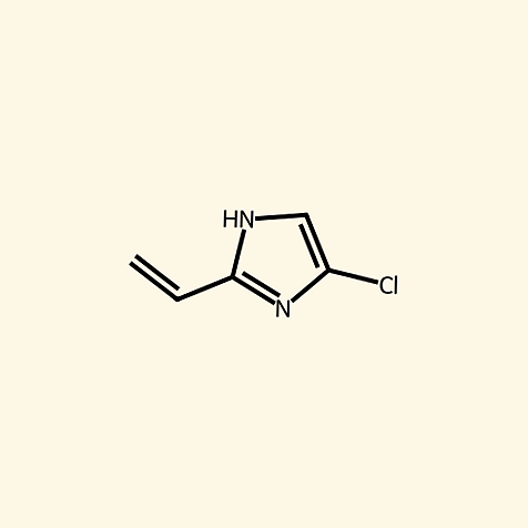 C=Cc1nc(Cl)c[nH]1